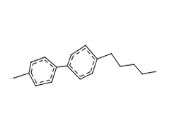 [CH2]c1ccc(-c2ccc(CCCCC)cc2)cc1